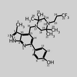 Cc1n[nH]c2nc(-c3ccc(O)cc3)cc(CN3CC(C)(C)N(CCC(F)(F)F)CC3(C)C)c12